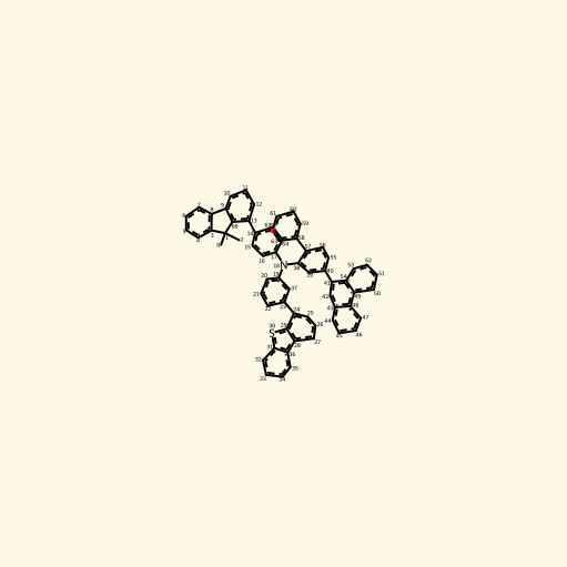 CC1(C)c2ccccc2-c2cccc(-c3ccc(N(c4cccc(-c5cccc6c5sc5ccccc56)c4)c4cc(-c5cc6ccccc6c6ccccc56)ccc4-c4ccccc4)cc3)c21